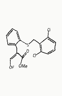 COC(=O)C(=CO)c1ccccc1SCc1c(Cl)cccc1Cl